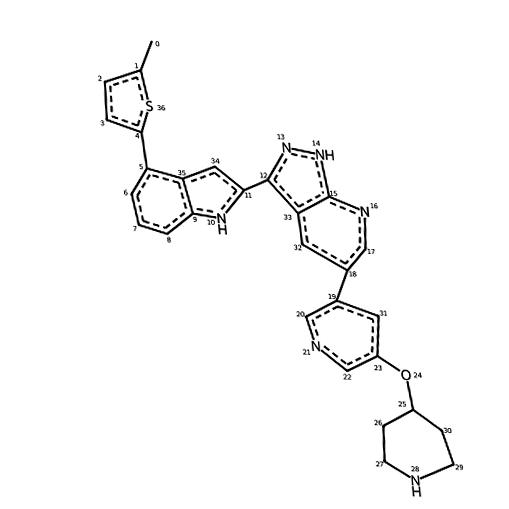 Cc1ccc(-c2cccc3[nH]c(-c4n[nH]c5ncc(-c6cncc(OC7CCNCC7)c6)cc45)cc23)s1